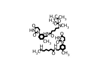 CNCCCCC(=O)NCc1cc(N2CCC(=O)NC2=O)ccc1C.Cc1ccc(N2CCC(=O)NC2=O)cc1CNC(=O)CCCCN(C)C(=O)OC(C)(C)C